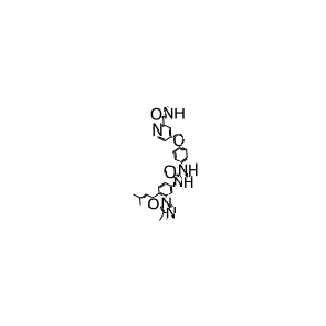 CNC(=O)c1cc(Oc2ccc(NC(=O)Nc3ccc(C(=O)C=C(C)C)c(-n4cnc(C)c4)c3)cc2)ccn1